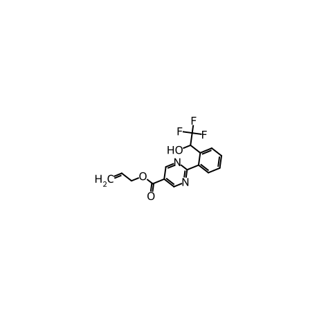 C=CCOC(=O)c1cnc(-c2ccccc2C(O)C(F)(F)F)nc1